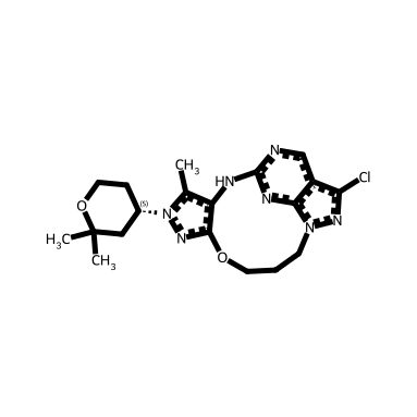 Cc1c2c(nn1[C@H]1CCOC(C)(C)C1)OCCCn1nc(Cl)c3cnc(nc31)N2